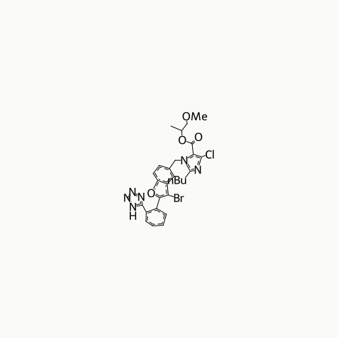 CCCCc1nc(Cl)c(C(=O)OC(C)COC)n1Cc1ccc2oc(-c3ccccc3-c3nnn[nH]3)c(Br)c2c1